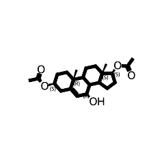 CC(=O)O[C@H]1CC[C@@]2(C)C(=C[C@H](O)C3C2CC[C@@]2(C)C3CC[C@@H]2OC(C)=O)C1